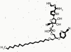 CCCCCCCCCCCCCCCCCCOC[C@@H](COP(=O)(O)OC[C@@]1(C#N)O[C@@H](c2ccc(/C(N)=N\C=N)[nH]2)[C@H](O)[C@@H]1O)Oc1ccc(C#N)nc1